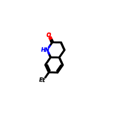 CCC1=CC2NC(=O)CCC2C=C1